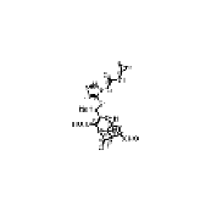 O=CN1C[C@H]2OC(CSc3nnnn3CC(=O)NC3CC3)=C(C(=O)O)N3C(=O)[C@@H]1[C@@H]23.[NaH]